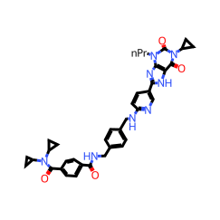 CCCn1c(=O)n(C2CC2)c(=O)c2[nH]c(-c3ccc(NCc4ccc(CNC(=O)c5ccc(C(=O)N(C6CC6)C6CC6)cc5)cc4)nc3)nc21